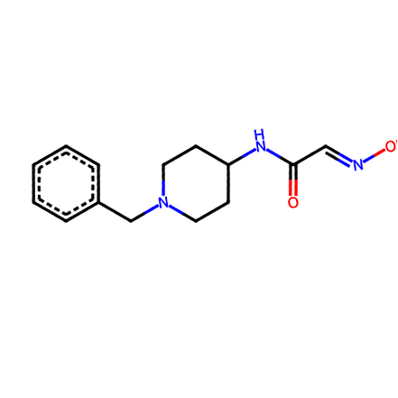 O=C(/C=N/O)NC1CCN(Cc2ccccc2)CC1